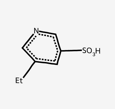 CCc1cncc(S(=O)(=O)O)c1